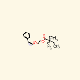 CCC(C)(C)C(=O)OCCO/C=C\c1ccccc1